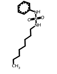 CCCCCCCCNS(=O)(=O)Nc1ccccc1